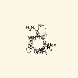 CCCCCC[C@H]1OC[C@@H](C)NC(=O)[C@H](COC(CCN)CCN)NC(=O)[C@H](CN)NC(=O)[C@H](C2CCCCCC2)NC(=O)[C@H](CCC)N(C)C(=O)[C@@H]1C